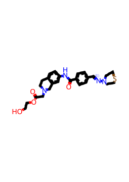 O=C(CN1CCc2ccc(NC(=O)c3ccc(/C=N/N4CCSCC4)cc3)cc2C1)OCCO